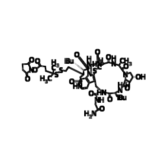 CCC(C)[C@@H]1NC(=O)[C@@H]2C[C@@H](O)CN2C(=O)C(C)NC(=O)[C@@H]2CSc3[nH]c4ccc(cc4c3C[C@@H](C(=O)NCC(N)=O)NC1=O)NC(=O)CC(CCSSC(C)(C)CCC(=O)ON1C(=O)CCC1=O)[C@@H]([C@@H](C)CC)C(=O)NCC(=O)N2